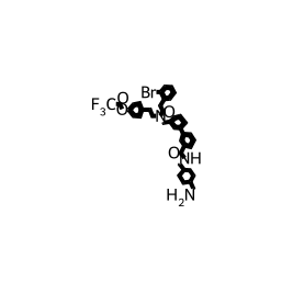 NCC1CCC(CNC(=O)c2cccc(-c3cccc(CN(CCc4ccc(OC(=O)C(F)(F)F)cc4)C(=O)Cc4ccccc4Br)c3)c2)CC1